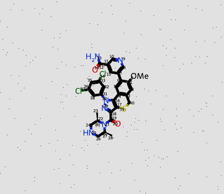 COc1cc2c(cc1-c1cncc(C(N)=O)c1)-c1c(c(C(=O)N3[C@H](C)CNC[C@@H]3C)nn1-c1cc(Cl)cc(Cl)c1)SC2